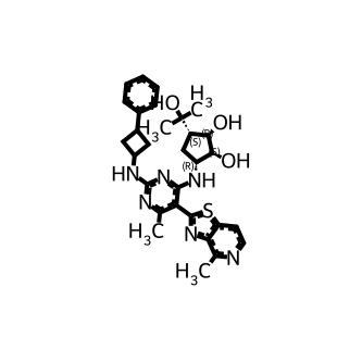 Cc1nc(NC2CC(c3ccccc3)C2)nc(N[C@@H]2C[C@H](C(C)(C)O)[C@@H](O)[C@H]2O)c1-c1nc2c(C)nccc2s1